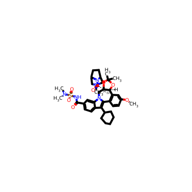 COc1ccc2c(c1)[C@@H]1OC(C)(C)O[C@]1(C(=O)N1C3CCC1CN(C)C3)Cn1c-2c(C2CCCCC2)c2ccc(C(=O)NS(=O)(=O)N(C)C)cc21